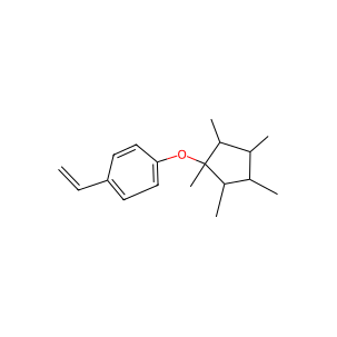 C=Cc1ccc(OC2(C)C(C)C(C)C(C)C2C)cc1